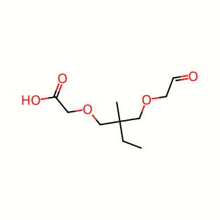 CCC(C)(COCC=O)COCC(=O)O